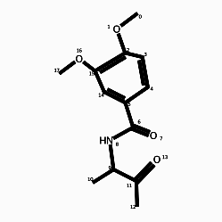 COc1ccc(C(=O)NC(C)C(C)=O)cc1OC